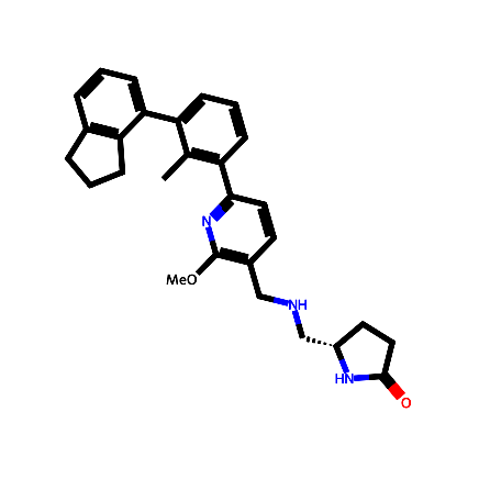 COc1nc(-c2cccc(-c3cccc4c3CCC4)c2C)ccc1CNC[C@@H]1CCC(=O)N1